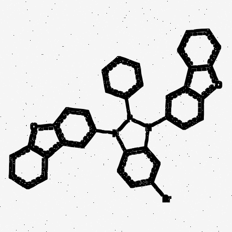 Brc1ccc2c(c1)N(c1ccc3oc4ccccc4c3c1)P(c1ccccc1)N2c1ccc2oc3ccccc3c2c1